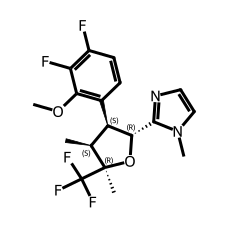 COc1c([C@H]2[C@H](c3nccn3C)O[C@@](C)(C(F)(F)F)[C@H]2C)ccc(F)c1F